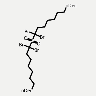 CCCCCCCCCCCCCCCCC(Br)(Br)S(=O)(=O)C(Br)(Br)CCCCCCCCCCCCCCCC